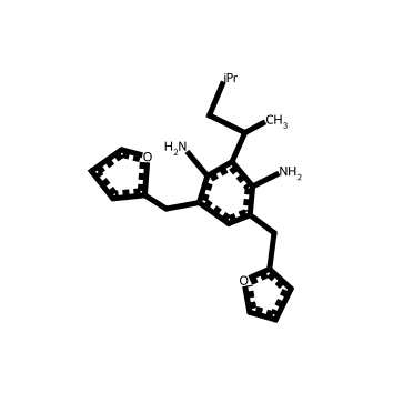 CC(C)CC(C)c1c(N)c(Cc2ccco2)cc(Cc2ccco2)c1N